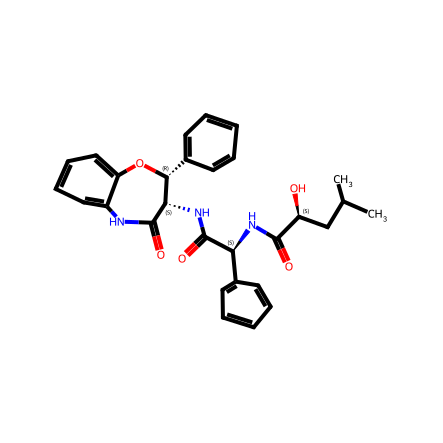 CC(C)C[C@H](O)C(=O)N[C@H](C(=O)N[C@@H]1C(=O)Nc2ccccc2O[C@@H]1c1ccccc1)c1ccccc1